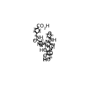 O=C(O)c1ccc(CNC(=O)c2cn(-c3nc(N[C@@H]4CCOC4)c4ncn([C@@H]5O[C@H](CO)[C@@H](O)[C@@H]5O)c4n3)nn2)cc1